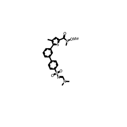 CON(C)C(=O)c1cc(C)c(-c2cccc(-c3ccc(S(=O)(=O)N=CN(C)C)cc3)c2)s1